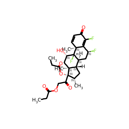 CCC(=O)OCC(=O)[C@]1(OC(=O)CC)[C@@H](C)C[C@H]2[C@@H]3C[C@H](F)C4=C(F)C(=O)C=C[C@]4(C)[C@@]3(F)[C@@H](O)C[C@@]21C